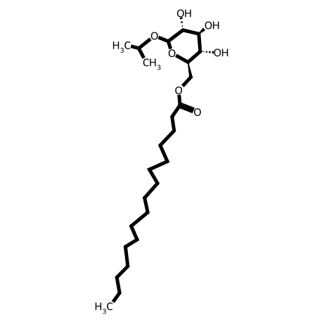 CCCCCCCCCCCCCCCC(=O)OC[C@H]1OC(OC(C)C)[C@H](O)[C@@H](O)[C@@H]1O